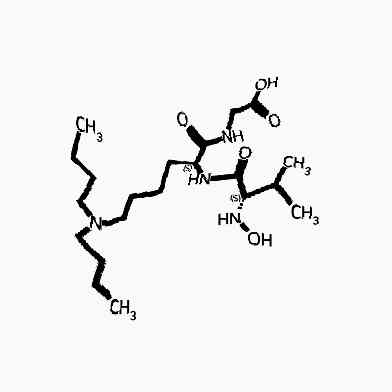 CCCCN(CCCC)CCCC[C@H](NC(=O)[C@@H](NO)C(C)C)C(=O)NCC(=O)O